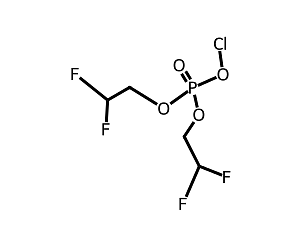 O=P(OCl)(OCC(F)F)OCC(F)F